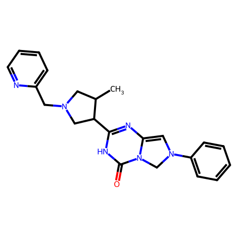 CC1CN(Cc2ccccn2)CC1C1=NC2=CN(c3ccccc3)CN2C(=O)N1